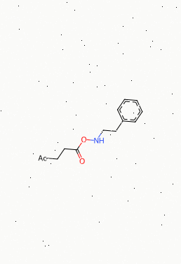 CC(=O)CCC(=O)ONCCc1ccccc1